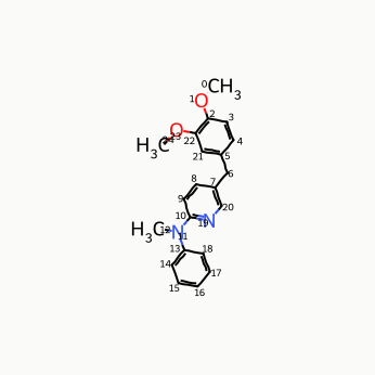 COc1ccc(Cc2ccc(N(C)c3ccccc3)nc2)cc1OC